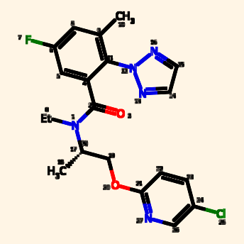 CCN(C(=O)c1cc(F)cc(C)c1-n1nccn1)[C@@H](C)COc1ccc(Cl)cn1